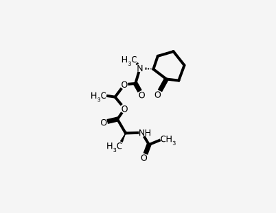 CC(=O)N[C@@H](C)C(=O)OC(C)OC(=O)N(C)[C@@H]1CCCCC1=O